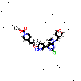 CC(C)(C)OC(=O)N1CCC(CCOC2NC=C(c3nc(Cl)nc4c3ccn4CC3CCOCC3)C=C2C(F)(F)F)CC1